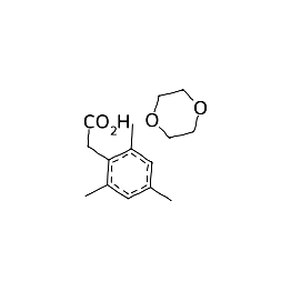 C1COCCO1.Cc1cc(C)c(CC(=O)O)c(C)c1